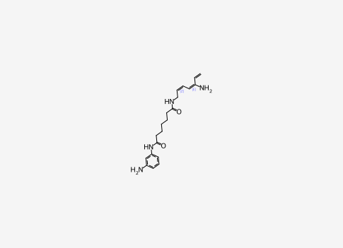 C=C/C(N)=C\C=C/CNC(=O)CCCCCC(=O)Nc1cccc(N)c1